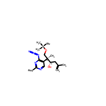 C=C(C)C[C@H](O)[C@](C)(CO[Si](C)(C)C(C)(C)C)c1cnc(SC)nc1N=[N+]=[N-]